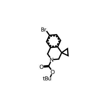 CC(C)(C)OC(=O)N1Cc2cc(Br)ccc2C2(CC2)C1